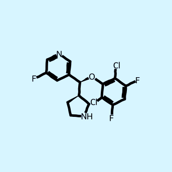 Fc1cncc([C@@H](Oc2c(Cl)c(F)cc(F)c2Cl)[C@@H]2CCNC2)c1